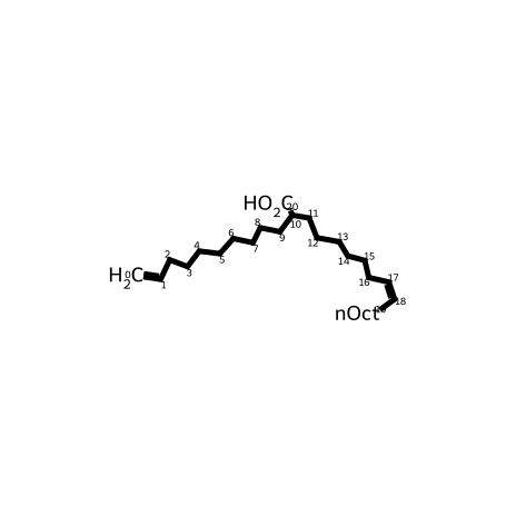 C=CCCCCCCCCC(CCCCCC/C=C\CCCCCCCC)C(=O)O